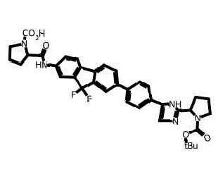 CC(C)(C)OC(=O)N1CCCC1c1ncc(-c2ccc(-c3ccc4c(c3)C(F)(F)c3cc(NC(=O)C5CCCN5C(=O)O)ccc3-4)cc2)[nH]1